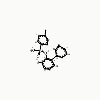 Cc1ccc(P(=O)(O)Oc2c(C)cccc2-c2ccccc2)cc1